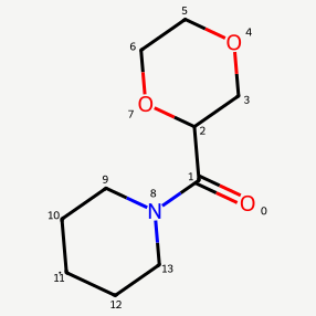 O=C(C1COCCO1)N1CC[CH]CC1